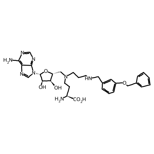 Nc1ncnc2c1ncn2[C@@H]1O[C@H](CN(CCCNCc2cccc(OCc3ccccc3)c2)CC[C@H](N)C(=O)O)[C@@H](O)[C@H]1O